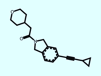 O=C(CC1CCOCC1)N1Cc2ccc(C#CC3CC3)cc2C1